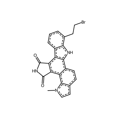 Cn1ccc2ccc3c4[nH]c5c(CCBr)cccc5c4c4c(c3c21)C(=O)NC4=O